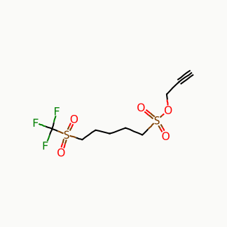 C#CCOS(=O)(=O)CCCCCS(=O)(=O)C(F)(F)F